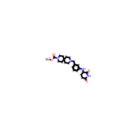 CC(C)(C)OC(=O)N1CCC2(CCN(Cc3cccc(NC4CCC(=O)NC4=O)c3)CC2)CC1